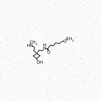 CNCCC1(CCNC(=O)CCCCCOC)CC(O)C1